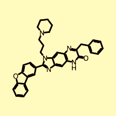 O=c1[nH]c2cc3nc(-c4ccc5oc6ccccc6c5c4)n(CCCN4CCCCC4)c3cc2nc1Cc1ccccc1